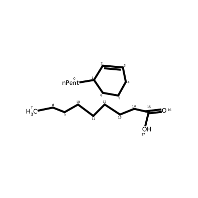 CCCCCC1C=CCCC1.CCCCCCCCC(=O)O